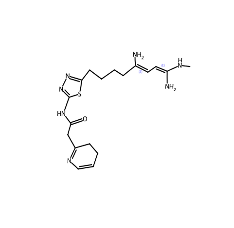 CN/C(N)=C/C=C(\N)CCCCc1nnc(NC(=O)CC2=NC=CCC2)s1